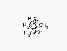 C=C/C(C(=O)OC)=C(SC)\C(Br)=C/C